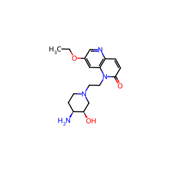 CCOc1cnc2ccc(=O)n(CCN3CC[C@H](N)[C@H](O)C3)c2c1